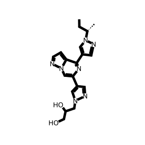 CC[C@H](C)n1cc(-c2nc(-c3cnn(CC(O)CO)c3)cn3nccc23)cn1